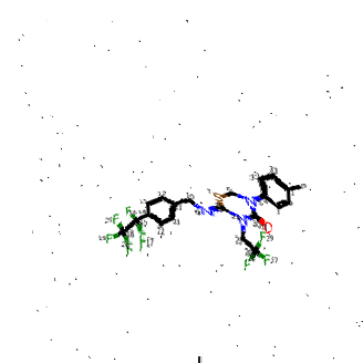 Cc1ccc(N2CSC(=NCc3ccc(C(F)(F)C(F)(F)F)cc3)N(CC(F)(F)F)C2=O)cc1